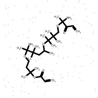 C=CC(=O)OC(C)(C)CCOC(C)(N)C(C)(C)CC(C)OC(C)(C)C(C)(C)COC(C)(N)C(=O)C=C